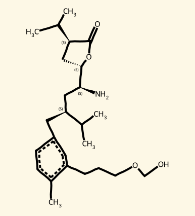 Cc1ccc(C[C@@H](C[C@H](N)[C@@H]2C[C@@H](C(C)C)C(=O)O2)C(C)C)cc1CCCOCO